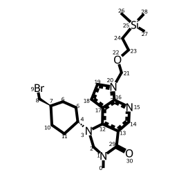 CN1CN([C@H]2CC[C@H](CBr)CC2)c2c(cnc3c2ccn3COCC[Si](C)(C)C)C1=O